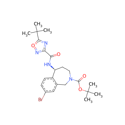 CC(C)(C)OC(=O)N1CC[C@H](NC(=O)c2noc(C(C)(C)C)n2)c2ccc(Br)cc2C1